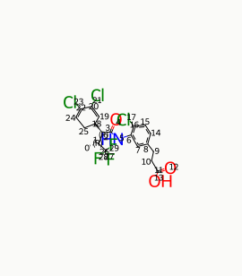 C[C@H]([C@H](C(=O)Nc1cc(CCC(=O)O)ccc1Cl)C1C=C(Cl)C(Cl)=CC1)C(F)(F)F